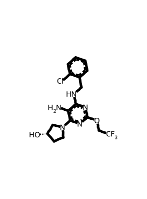 Nc1c(NCc2ccccc2Cl)nc(OCC(F)(F)F)nc1N1CC[C@H](O)C1